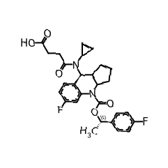 C[C@H](OC(=O)N1c2cc(F)ccc2C(N(C(=O)CCC(=O)O)C2CC2)C2CCCC21)c1ccc(F)cc1